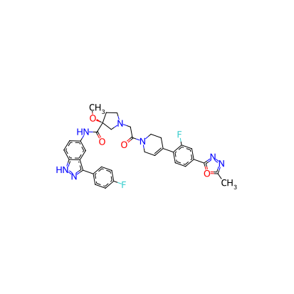 CO[C@@]1(C(=O)Nc2ccc3[nH]nc(-c4ccc(F)cc4)c3c2)CCN(CC(=O)N2CC=C(c3ccc(-c4nnc(C)o4)cc3F)CC2)C1